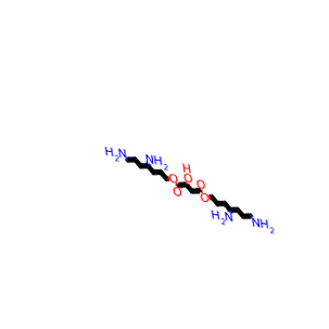 NCCCC(N)CCCOC(=O)CC(O)C(=O)OCCCC(N)CCCN